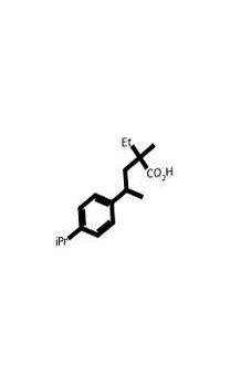 CCC(C)(CC(C)c1ccc(C(C)C)cc1)C(=O)O